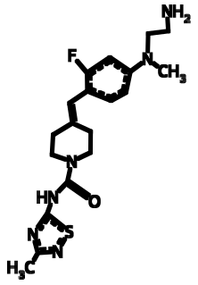 Cc1nsc(NC(=O)N2CCC(=Cc3ccc(N(C)CCN)cc3F)CC2)n1